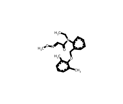 CCN(C(=O)C=NOC)c1ccccc1COc1c(C)cccc1C